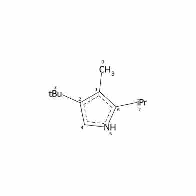 Cc1c(C(C)(C)C)c[nH]c1C(C)C